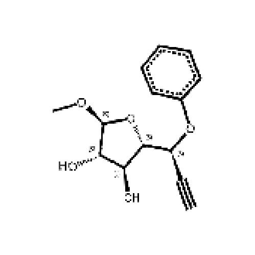 C#C[C@H](Oc1ccccc1)[C@H]1O[C@H](OC)[C@@H](O)[C@@H]1O